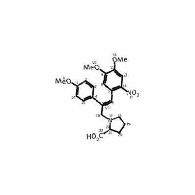 COc1ccc(/C(=C\c2cc(OC)c(OC)cc2[N+](=O)[O-])CN2CCC[C@H]2C(=O)O)cc1